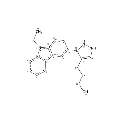 CCn1c2ccccc2c2cc(N3NNC=C3CCCO)ccc21